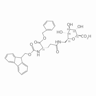 O=C(CC[C@H](NC(=O)OCC1c2ccccc2-c2ccccc21)C(=O)OCc1ccccc1)NC[C@@H]1O[C@H](C(=O)O)[C@@H](O)[C@H](O)[C@H]1O